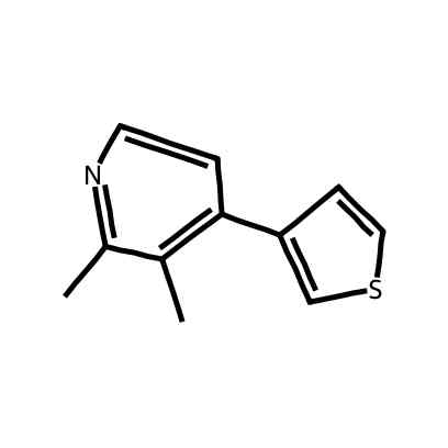 Cc1nccc(-c2ccsc2)c1C